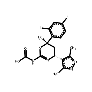 Cc1noc(C)c1[C@H]1C[C@@](C)(c2ccc(F)cc2F)SC(NC(=O)O)=N1